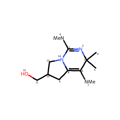 CNC1=NC(C)(C)C(NC)=C2CC(CO)CN12